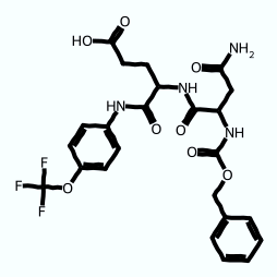 NC(=O)CC(NC(=O)OCc1ccccc1)C(=O)NC(CCC(=O)O)C(=O)Nc1ccc(OC(F)(F)F)cc1